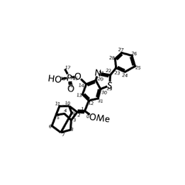 COC(=C1C2CC3CC(C2)CC1C3)c1cc(OP(C)(=O)O)c2nc(-c3ccccc3)sc2c1